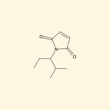 CCC(C(C)C)N1C(=O)C=CC1=O